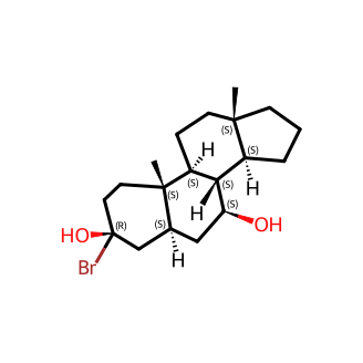 C[C@@]12CCC[C@H]1[C@@H]1[C@@H](O)C[C@H]3C[C@](O)(Br)CC[C@]3(C)[C@H]1CC2